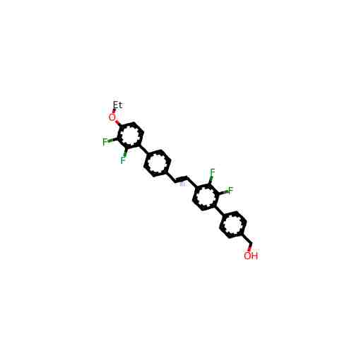 CCOc1ccc(-c2ccc(/C=C/c3ccc(-c4ccc(CO)cc4)c(F)c3F)cc2)c(F)c1F